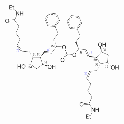 CCNC(=O)CCC/C=C\C[C@@H]1[C@@H](/C=C/[C@H](CCc2ccccc2)OC(=O)O[C@H](/C=C/[C@@H]2[C@@H](C/C=C\CCCC(=O)NCC)[C@@H](O)C[C@@H]2O)CCc2ccccc2)[C@@H](O)C[C@@H]1O